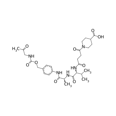 CC(=O)CNC(=O)OCc1ccc(NC(=O)[C@H](C)NC(=O)[C@@H](NC(=O)CCC(=O)N2CCC(C(=O)O)CC2)C(C)C)cc1